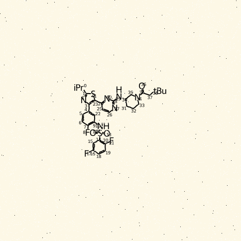 CC(C)c1nc(-c2ccc(F)c(NS(=O)(=O)c3cc(F)ccc3F)c2)c(-c2ccnc(N[C@H]3CCCN(C(=O)CC(C)(C)C)C3)n2)s1